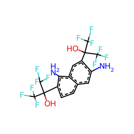 Nc1cc2ccc(C(O)(C(F)(F)F)C(F)(F)F)c(N)c2cc1C(O)(C(F)(F)F)C(F)(F)F